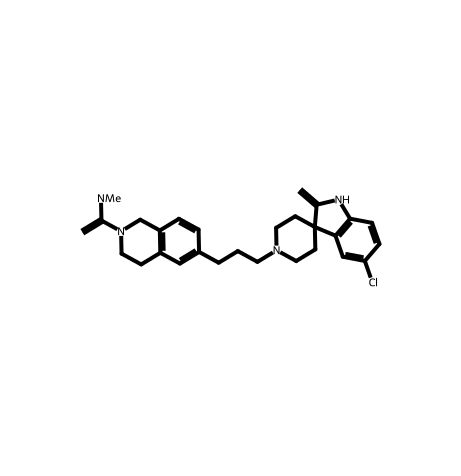 C=C(NC)N1CCc2cc(CCCN3CCC4(CC3)C(=C)Nc3ccc(Cl)cc34)ccc2C1